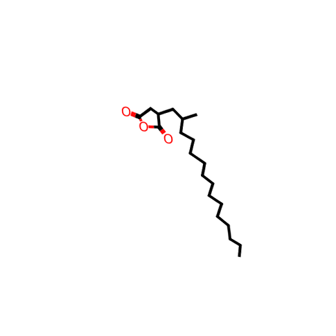 CCCCCCCCCCCCCC(C)CC1CC(=O)OC1=O